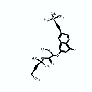 CCC#CC(C)(C)NC(=O)C(Oc1cc(Cl)c2ncc(C#C[Si](C)(C)C)cc2c1)SC